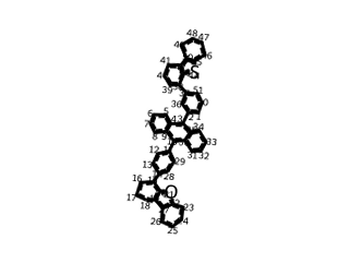 c1cc(-c2c3ccccc3c(-c3ccc(-c4cccc5c4oc4ccccc45)cc3)c3ccccc23)cc(-c2cccc3c2sc2ccccc23)c1